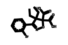 CCC1(CC)C(c2ccccc2Br)=NOC1(C(=O)O)C(=O)O